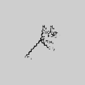 CC(=O)O.CC(=O)O.CCCCCCCCCCCCC(CCCCCC)(CCCCCC)C(=O)OCC